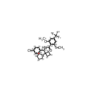 COc1cc(C(F)(F)F)cc(SC)c1C(=O)NC(c1ccc(Cl)cc1)C1(N2CCCC2)CCC1